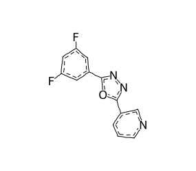 Fc1cc(F)cc(-c2nnc(-c3cccnc3)o2)c1